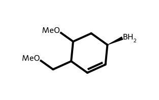 B[C@H]1C=CC(COC)C(OC)C1